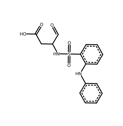 O=CC(CC(=O)O)NS(=O)(=O)c1ccccc1Nc1ccccc1